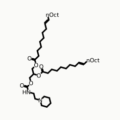 CCCCCCCCC=CCCCCCCCC(=O)OCC(COC(=O)NCCN1CCCCC1)OC(=O)CCCCCCCC=CCCCCCCCC